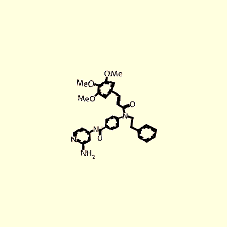 COc1cc(/C=C/C(=O)N(CCc2ccccc2)c2ccc(C(=O)Nc3ccnc(N)c3)cc2)cc(OC)c1OC